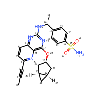 CC#Cc1ccc2nc(N[C@H](C)c3ccc(S(N)(=O)=O)cc3)nc(O[C@@H]3C[C@@H]4C[C@@H]4C3)c2n1